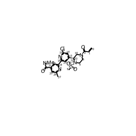 C=CC(=O)N1CCN(S(C)(=O)=O)[C@@H](c2cc(Cl)nc(-c3cc(C(=O)NC)cc(C)n3)c2)C1